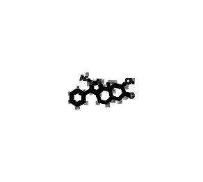 CC(=O)n1nc2c(c1-c1ccccc1)CCC1CC(=O)C(C#N)=CC21C